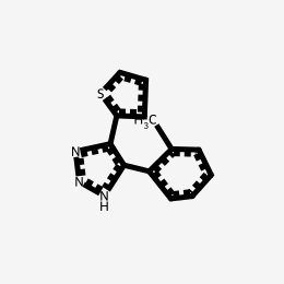 Cc1ccccc1-c1[nH]nnc1-c1cccs1